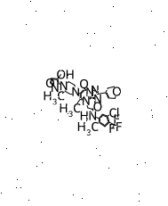 CCc1c(N2CCN(c3nocc3O)[C@H](C)C2)c(=O)n2nc(C3=CCOCC3)nc2n1CC(=O)Nc1cc(Cl)c(C(F)(F)F)cc1C